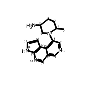 CC1CCC(N)CN1c1cncc2cnc3[nH]ccc3c12